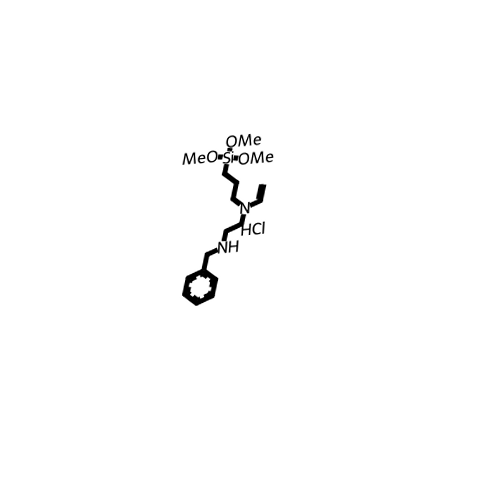 C=CN(CCC[Si](OC)(OC)OC)CCNCc1ccccc1.Cl